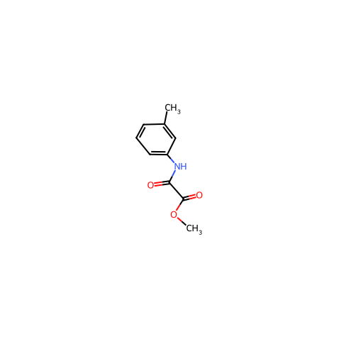 COC(=O)C(=O)Nc1cccc(C)c1